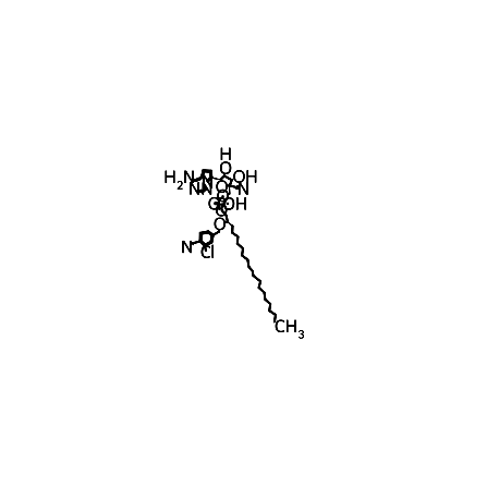 CCCCCCCCCCCCCCCCCCC[C@H](COP(=O)(O)OC[C@@]1(C#N)O[C@@H](c2ccc3c(N)ncnn23)[C@H](O)[C@@H]1O)OCc1ccc(C#N)c(Cl)c1